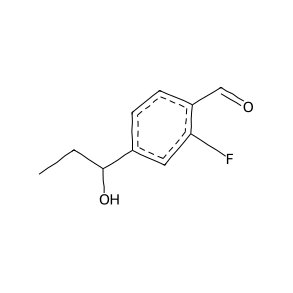 CCC(O)c1ccc(C=O)c(F)c1